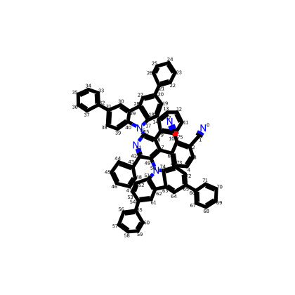 N#Cc1cccc(-c2c(-c3ccccc3)c(-n3c4ccc(-c5ccccc5)cc4c4cc(-c5ccccc5)ccc43)nc(-c3ccccc3)c2-n2c3ccc(-c4ccccc4)cc3c3cc(-c4ccccc4)ccc32)c1C#N